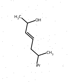 CC(O)C=CCC(C)C(C)C